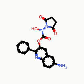 Nc1ccc2nc(-c3ccccc3)c(OC(=O)N(O)N3C(=O)CCC3=O)cc2c1